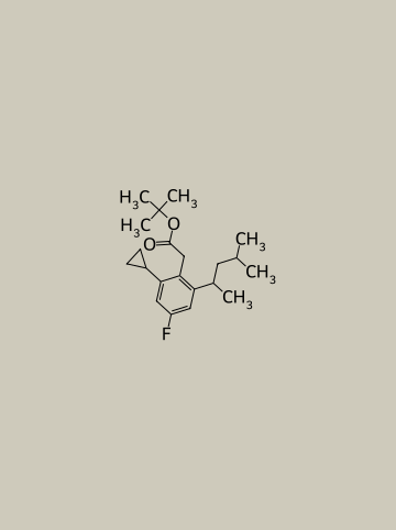 CC(C)CC(C)c1cc(F)cc(C2CC2)c1CC(=O)OC(C)(C)C